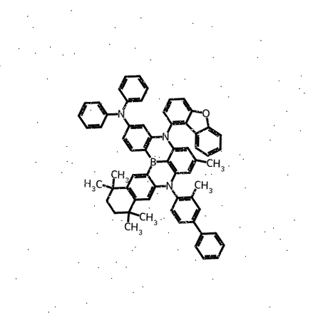 Cc1cc2c3c(c1)N(c1cccc4oc5ccccc5c14)c1cc(N(c4ccccc4)c4ccccc4)ccc1B3c1cc3c(cc1N2c1ccc(-c2ccccc2)cc1C)C(C)(C)CCC3(C)C